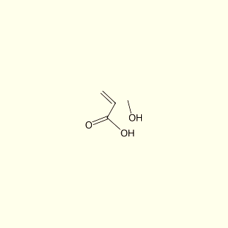 C=CC(=O)O.CO